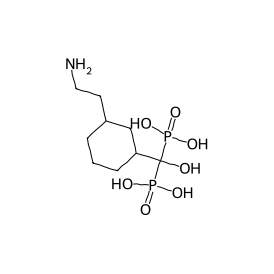 NCCC1CCCC(C(O)(P(=O)(O)O)P(=O)(O)O)C1